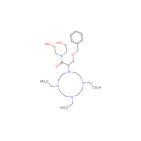 O=C(O)CN1CCN(CC(=O)O)CCN(C(COCc2ccccc2)C(=O)N(CCO)CCO)CCN(CC(=O)O)CC1